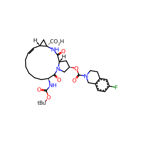 CC(C)(C)OC(=O)N[C@H]1CCCCCC=C[C@@H]2C[C@@]2(C(=O)O)NC(=O)[C@@H]2C[C@@H](OC(=O)N3CCc4cc(F)ccc4C3)CN2C1=O